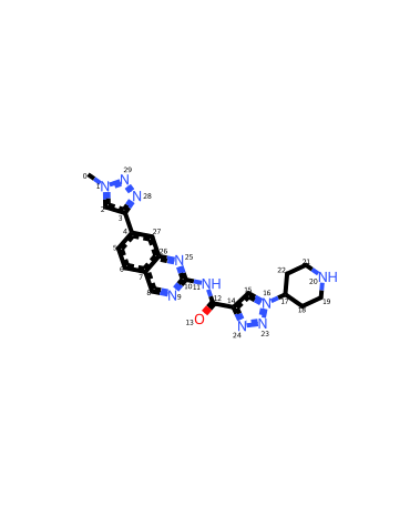 Cn1cc(-c2ccc3cnc(NC(=O)c4cn(C5CCNCC5)nn4)nc3c2)nn1